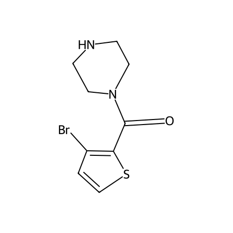 O=C(c1sccc1Br)N1CCNCC1